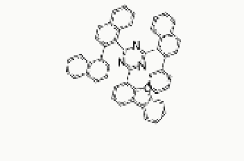 c1ccc(-c2ccc3ccccc3c2-c2nc(-c3c(-c4cccc5ccccc45)ccc4ccccc34)nc(-c3cccc4c3oc3ccccc34)n2)cc1